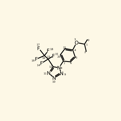 CC(C)Oc1ccc(-n2nnnc2C(F)(F)C(F)(F)F)cc1